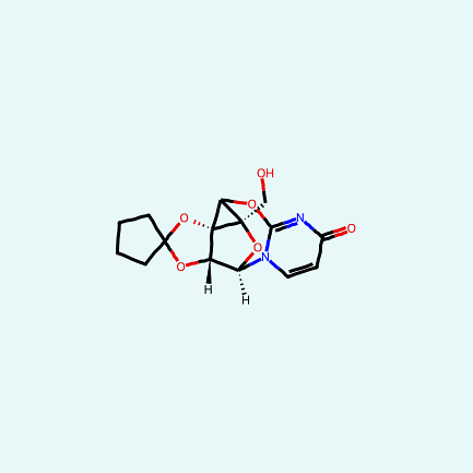 O=c1ccn2c(n1)OC1[C@@]3(CO)O[C@@H]2[C@@H]2OC4(CCCC4)O[C@@]123